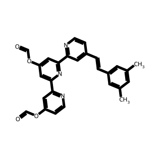 Cc1cc(C)cc(/C=C/c2ccnc(-c3cc(OC=O)cc(-c4cc(OC=O)ccn4)n3)c2)c1